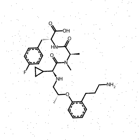 C[C@H](CN[C@H](C(=O)N(C)[C@H](C)C(=O)N[C@H](Cc1ccc(F)cc1)C(=O)O)C1CC1)Oc1ccccc1CCCN